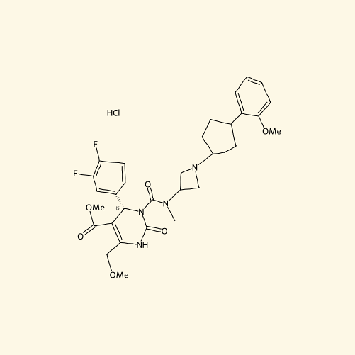 COCC1=C(C(=O)OC)[C@H](c2ccc(F)c(F)c2)N(C(=O)N(C)C2CN(C3CCC(c4ccccc4OC)CC3)C2)C(=O)N1.Cl